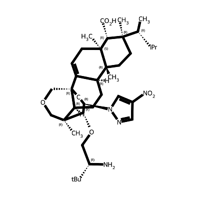 CC(C)[C@@H](C)[C@@]1(C)CC[C@]2(C)[C@H]3CC[C@@H]4[C@@]5(COC[C@]4(C)[C@@H](OC[C@H](N)C(C)(C)C)[C@H](n4cc([N+](=O)[O-])cn4)C5)C3=CC[C@@]2(C)[C@@H]1C(=O)O